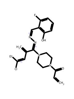 C=CC(=O)N1CCN(/C(=N/N=C\c2c(O)cccc2F)C(=C)/C=C(/Cl)CC)CC1